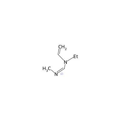 C=CN(/C=N\C)CC